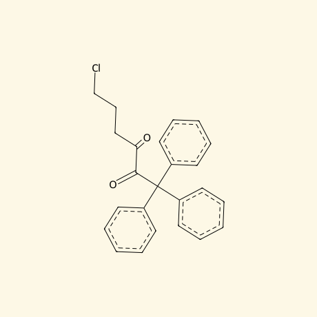 O=C(CCCCl)C(=O)C(c1ccccc1)(c1ccccc1)c1ccccc1